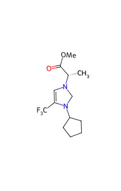 COC(=O)[C@H](C)N1C=C(C(F)(F)F)N(C2CCCC2)C1